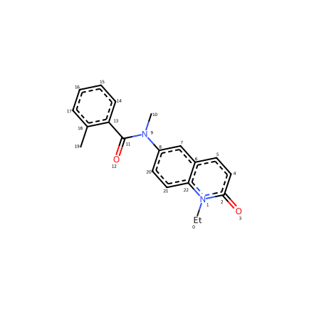 CCn1c(=O)ccc2cc(N(C)C(=O)c3ccccc3C)ccc21